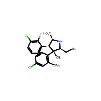 COc1cc(Cl)ccc1[C@@]1(C#N)[C@H](CC(C)(C)C)N[C@H](C(=O)O)[C@@H]1c1cccc(Cl)c1F